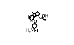 C=C[C@@H](O)C[C@H]1CCc2sc3ncnc(O[C@H]4CC[C@@](N)(CC)CC4)c3c21